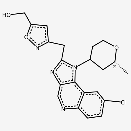 C[C@@H]1CC(n2c(Cc3cc(CO)on3)nc3cnc4ccc(Cl)cc4c32)CCO1